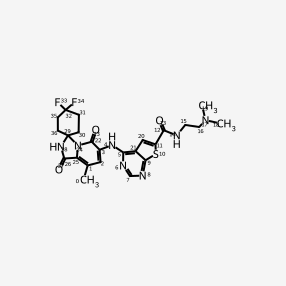 Cc1cc(Nc2ncnc3sc(C(=O)NCCN(C)C)cc23)c(=O)n2c1C(=O)NC21CCC(F)(F)CC1